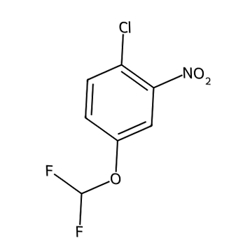 O=[N+]([O-])c1cc(OC(F)F)ccc1Cl